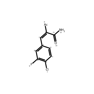 CC(=O)C(=Cc1ccc(Cl)c(F)c1)C(N)=O